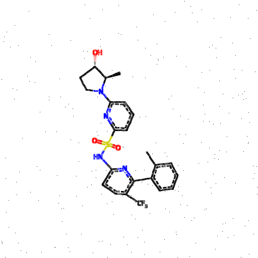 Cc1ccccc1-c1nc(NS(=O)(=O)c2cccc(N3CC[C@H](O)[C@H]3C)n2)ccc1C(F)(F)F